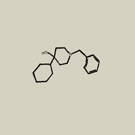 OC1(C2CCCCC2)CCN(Cc2ccccc2)CC1